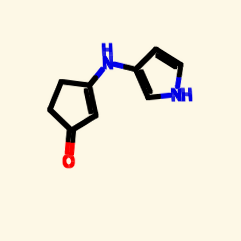 O=C1C=C(Nc2cc[nH]c2)CC1